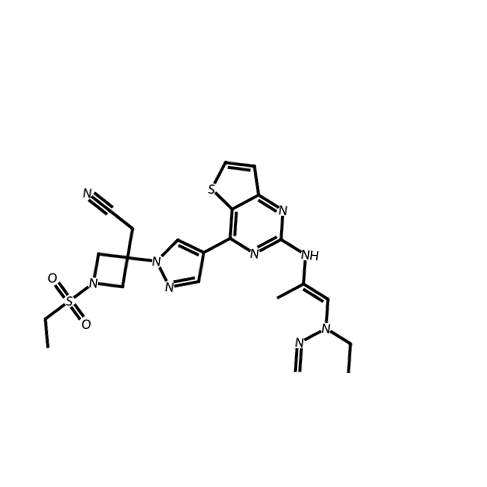 C=NN(/C=C(\C)Nc1nc(-c2cnn(C3(CC#N)CN(S(=O)(=O)CC)C3)c2)c2sccc2n1)CC